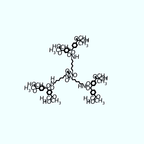 CC(C)(O)C(=O)c1ccc(C(OC(=O)NCCCCCCn2c(=O)n(CCCCCCNC(=O)OC(c3ccc(C(=O)C(C)(C)O)cc3)c3ccc(C(=O)C(C)(C)O)cc3)c(=O)n(CCCCCCNC(=O)OC(c3ccc(C(=O)C(C)(C)O)cc3)c3ccc(C(=O)C(C)(C)O)cc3)c2=O)c2ccc(C(=O)C(C)(C)O)cc2)cc1